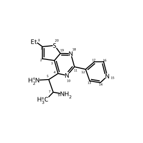 CCc1cc2c(C(N)C(C)N)nc(-c3ccncc3)nc2s1